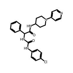 O=C(Nc1ccc(Cl)cc1)NC(C(=O)NC1CCN(c2ccncc2)CC1)c1ccccc1